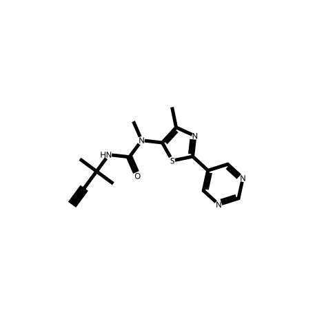 C#CC(C)(C)NC(=O)N(C)c1sc(-c2cncnc2)nc1C